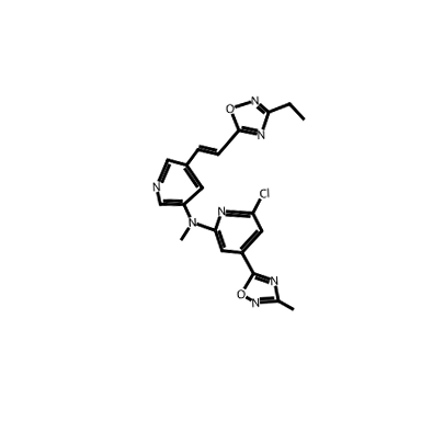 CCc1noc(/C=C/c2cncc(N(C)c3cc(-c4nc(C)no4)cc(Cl)n3)c2)n1